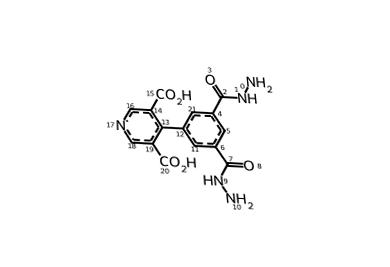 NNC(=O)c1cc(C(=O)NN)cc(-c2c(C(=O)O)cncc2C(=O)O)c1